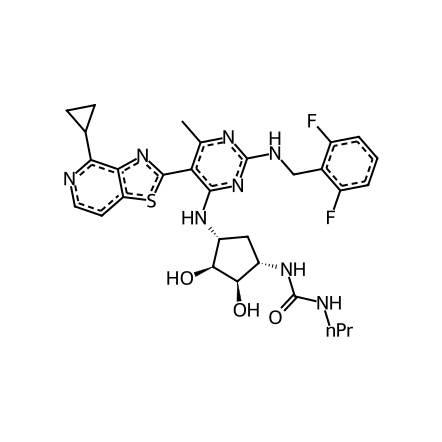 CCCNC(=O)N[C@H]1C[C@@H](Nc2nc(NCc3c(F)cccc3F)nc(C)c2-c2nc3c(C4CC4)nccc3s2)[C@H](O)[C@@H]1O